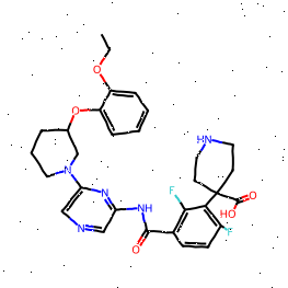 CCOc1ccccc1OC1CCCN(c2cncc(NC(=O)c3ccc(F)c(C4(C(=O)O)CCNCC4)c3F)n2)C1